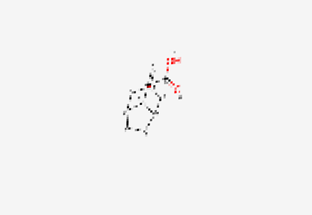 C=C1CC2CCC(C1)C2CC(=O)O